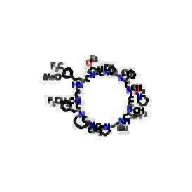 CCC[C@H]1CN[C@@H]([C@@H](C)CC)CN2CCC[C@H]2CN(C)[C@H]2C/C=C\CCN(C2)[C@@H](Cc2ccc(C(F)(F)F)cc2)CN(C)CCN[C@@H](CCc2ccc(C(F)(F)F)c(OC)c2)CN2C[C@H](OCC)C[C@H]2CN(C)C2(CCC2)CN(C)[C@@H](C2CCCC2)CN(C)[C@H](C(=O)N2CCCCC2)CCN1C